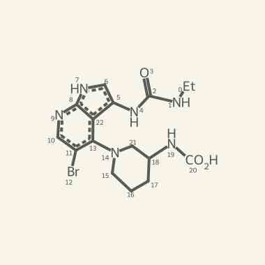 CCNC(=O)Nc1c[nH]c2ncc(Br)c(N3CCCC(NC(=O)O)C3)c12